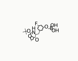 COC(=O)C(Cc1cc(F)cc(OCB(O)O)c1)NC(=O)OC(C)(C)C